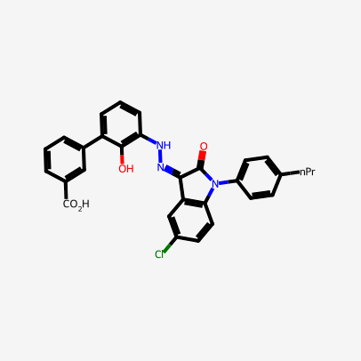 CCCc1ccc(N2C(=O)C(=NNc3cccc(-c4cccc(C(=O)O)c4)c3O)c3cc(Cl)ccc32)cc1